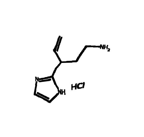 C=CC(CCN)c1ncc[nH]1.Cl